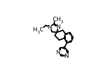 CCN1CC2(CCc3c(cccc3-c3cncnc3)C2)N=C1C